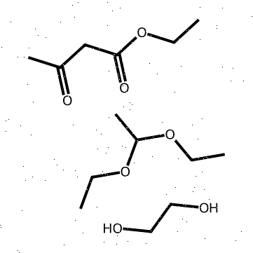 CCOC(=O)CC(C)=O.CCOC(C)OCC.OCCO